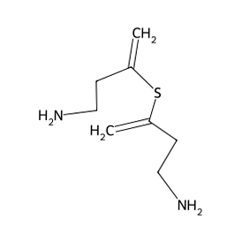 C=C(CCN)SC(=C)CCN